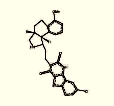 COc1cccc2c1CC[C@H]1CNC(CCn3c(=O)[nH]c4c(sc5ccc(Cl)cc54)c3=O)[C@@H]21